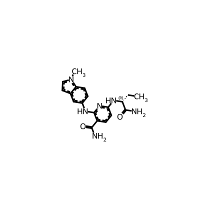 CC[C@@H](Nc1ccc(C(N)=O)c(Nc2ccc3c(ccn3C)c2)n1)C(N)=O